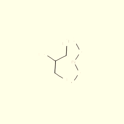 CCC(C)CC.CONOC